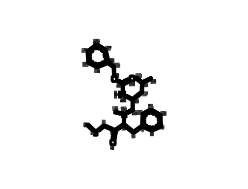 CSCC(=O)C(Cc1ccccc1)N(C)CC(CC(C)C)NC(=O)OCc1ccccc1